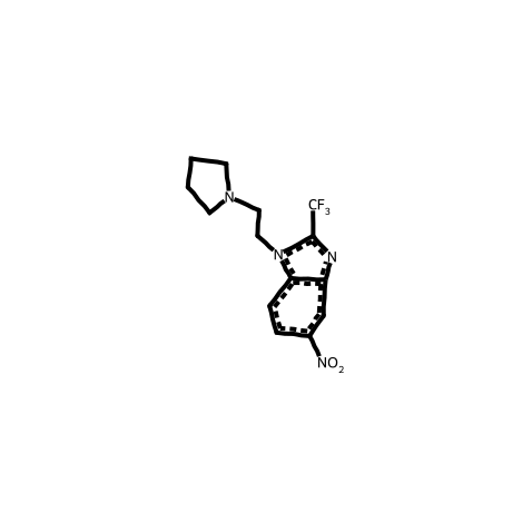 O=[N+]([O-])c1ccc2c(c1)nc(C(F)(F)F)n2CCN1CCCC1